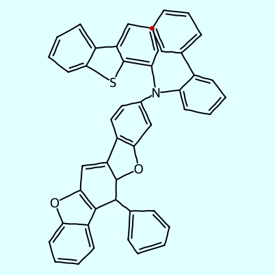 C1=C2c3ccc(N(c4ccccc4-c4ccccc4)c4cccc5c4sc4ccccc45)cc3OC2C(c2ccccc2)c2c1oc1ccccc21